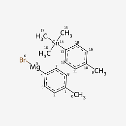 Cc1cc[c]([Mg][Br])cc1.Cc1cc[c]([Sn]([CH3])([CH3])[CH3])cc1